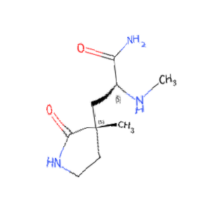 CN[C@@H](C[C@]1(C)CCNC1=O)C(N)=O